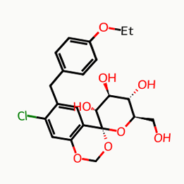 CCOc1ccc(Cc2cc3c(cc2Cl)OCO[C@]32O[C@H](CO)[C@@H](O)[C@H](O)[C@H]2O)cc1